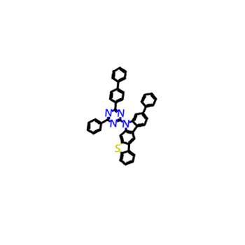 c1ccc(-c2ccc(-c3nc(-c4ccccc4)nc(-n4c5cc(-c6ccccc6)ccc5c5cc6c(cc54)sc4ccccc46)n3)cc2)cc1